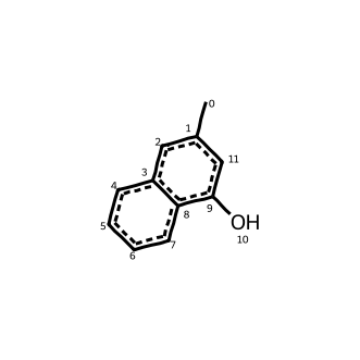 Cc1[c]c2ccccc2c(O)c1